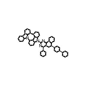 c1ccc(-c2ccc(-c3cc4c(-c5ccccc5)nc(-n5c6cccc7c8cccc9c%10ccccc%10n(c%10cccc5c%10c76)c89)nc4c4ccccc34)cc2)cc1